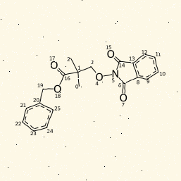 CC(C)(CON1C(=O)c2ccccc2C1=O)C(=O)OCc1ccccc1